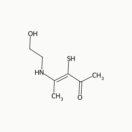 CC(=O)/C(S)=C(\C)NCCO